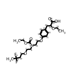 CCOC(=O)N(CCOCCC(C)(F)F)CCOc1ccc(CC(OCC)C(=O)O)cc1